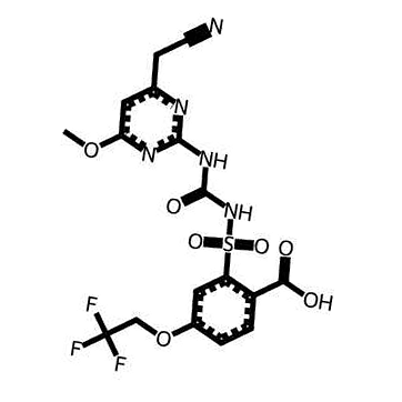 COc1cc(CC#N)nc(NC(=O)NS(=O)(=O)c2cc(OCC(F)(F)F)ccc2C(=O)O)n1